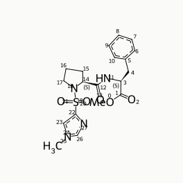 COC(=O)[C@H](Cc1ccccc1)NC(=O)[C@@H]1CCCN1S(=O)(=O)c1cn(C)cn1